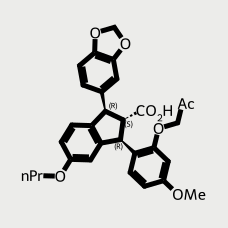 CCCOc1ccc2c(c1)[C@H](c1ccc(OC)cc1OCC(C)=O)[C@@H](C(=O)O)[C@@H]2c1ccc2c(c1)OCO2